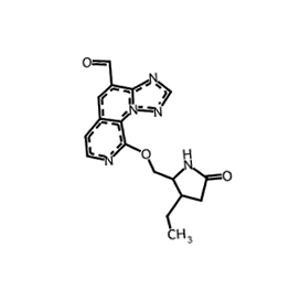 CCC1CC(=O)NC1COc1nccc2cc(C=O)c3ncnn3c12